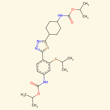 CC(C)OC(=O)Nc1ccc(-c2nnc(C3CCC(NC(=O)OC(C)C)CC3)s2)c(SC(C)C)c1